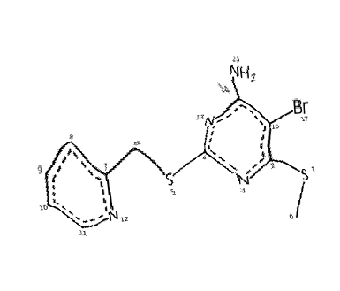 CSc1nc(SCc2ccccn2)nc(N)c1Br